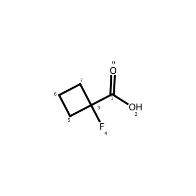 O=C(O)C1(F)CCC1